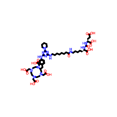 O=C(O)CC[C@H](NC(=O)N[C@@H](CCCCCNC(=O)CCCCCCCNc1nc(Nc2ccc(CC3CN(CC(=O)O)CCN(CC(=O)O)CCN(CC(=O)O)CCN3CC(=O)O)cc2)nc(N2CCCCC2)n1)C(=O)O)C(=O)O